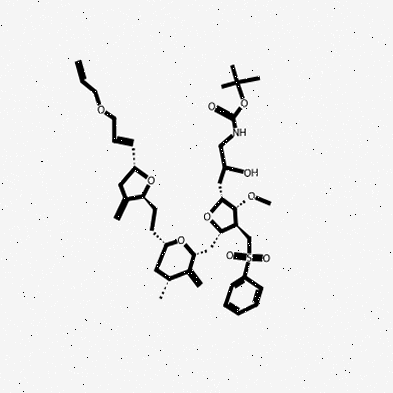 C=CCOC/C=C/[C@H]1CC(=C)[C@H](CC[C@H]2C[C@@H](C)C(=C)[C@@H](C[C@@H]3O[C@H](CC(O)CNC(=O)OC(C)(C)C)[C@H](OC)[C@H]3CS(=O)(=O)c3ccccc3)O2)O1